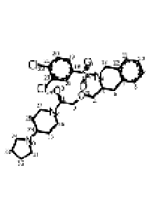 O=C(COCC1Cc2ccccc2CN1S(=O)(=O)c1ccc(Cl)c(Cl)c1)N1CCC(N2CCCC2)CC1